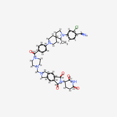 CC1N(c2ccc(C#N)c(Cl)c2)CCC12CCN(c1ccc(C(=O)N3CCN(CN4Cc5cc6c(cc5C4)C(=O)N(C4CCC(=O)NC4=O)C6=O)CC3)cc1)CC2